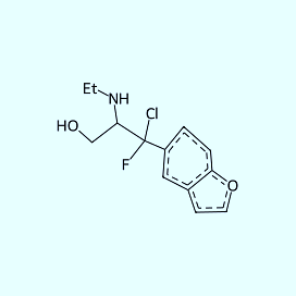 CCNC(CO)C(F)(Cl)c1ccc2occc2c1